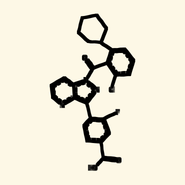 O=C(O)c1ccc(-c2nn(C(=O)c3c(Cl)cccc3C3CCCCC3)c3cccnc23)c(F)c1